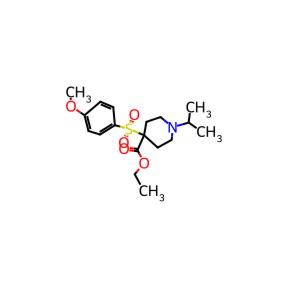 CCOC(=O)C1(S(=O)(=O)c2ccc(OC)cc2)CCN(C(C)C)CC1